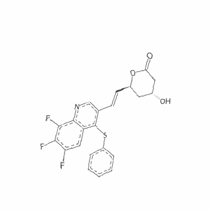 O=C1C[C@H](O)C[C@@H](/C=C/c2cnc3c(F)c(F)c(F)cc3c2Sc2ccccc2)O1